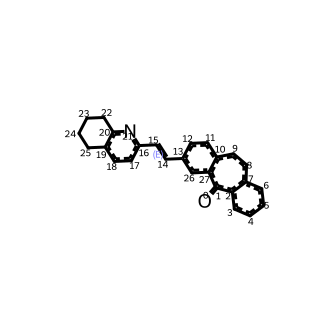 O=c1c2ccccc2ccc2ccc(/C=C/c3ccc4c(n3)CCCC4)cc12